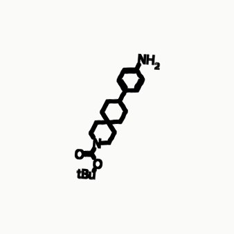 CC(C)(C)OC(=O)N1CCC2(CCC(c3ccc(N)cc3)CC2)CC1